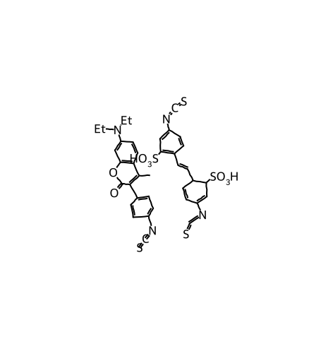 CCN(CC)c1ccc2c(C)c(-c3ccc(N=C=S)cc3)c(=O)oc2c1.O=S(=O)(O)c1cc(N=C=S)ccc1C=CC1C=CC(N=C=S)=CC1S(=O)(=O)O